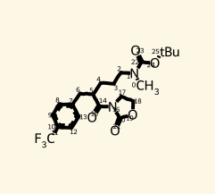 CN(CCCC(Cc1ccc(C(F)(F)F)cc1)C(=O)N1CCOC1=O)C(=O)OC(C)(C)C